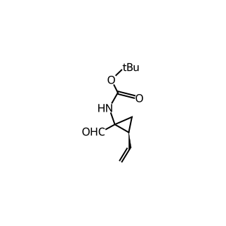 C=C[C@@H]1CC1(C=O)NC(=O)OC(C)(C)C